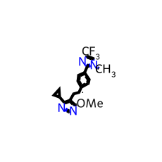 COc1ncnc(C2CC2)c1C[CH]c1ccc(-c2nc(C(F)(F)F)cn2C)cc1